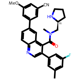 COc1cc(C#N)cc(-c2ccc3ncc(-c4cc(C)cc(F)c4)c(C(=O)N(C)C[C@@H]4CCCN4)c3c2)c1